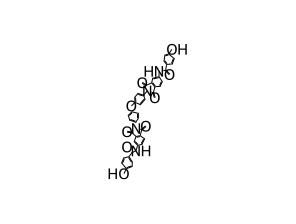 O=C(Nc1ccc2c(c1)C(=O)N(c1ccc(Oc3ccc(N4C(=O)c5ccc(NC(=O)c6ccc(O)cc6)cc5C4=O)cc3)cc1)C2=O)c1ccc(O)cc1